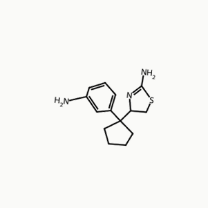 NC1=NC(C2(c3cccc(N)c3)CCCC2)CS1